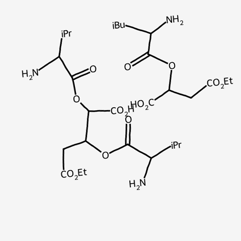 CCOC(=O)CC(OC(=O)C(N)C(C)C)C(OC(=O)C(N)C(C)C)C(=O)O.CCOC(=O)CC(OC(=O)C(N)C(C)CC)C(=O)O